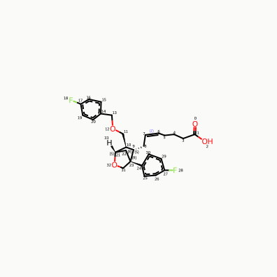 O=C(O)CCC/C=C\C[C@H]1[C@H](COCc2ccc(F)cc2)[C@@H]2C[C@@]1(c1ccc(F)cc1)CO2